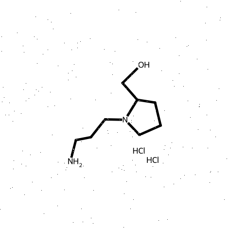 Cl.Cl.NCCCN1CCCC1CO